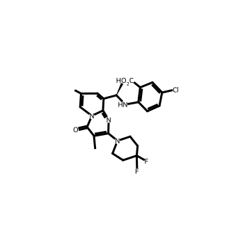 Cc1cc([C@@H](C)Nc2ccc(Cl)cc2C(=O)O)c2nc(N3CCC(F)(F)CC3)c(C)c(=O)n2c1